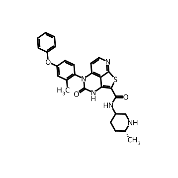 Cc1cc(Oc2ccccc2)ccc1N1C(=O)Nc2c(C(=O)NC3CC[C@@H](C)NC3)sc3nccc1c23